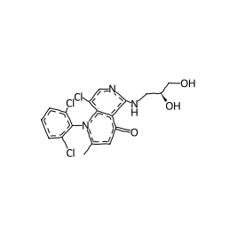 Cc1cc(=O)c2c(NC[C@H](O)CO)ncc(Cl)c2n1-c1c(Cl)cccc1Cl